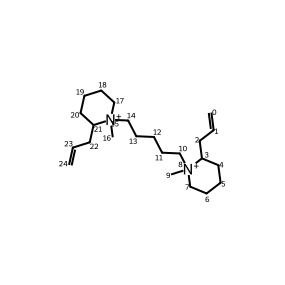 C=CCC1CCCC[N+]1(C)CCCCC[N+]1(C)CCCCC1CC=C